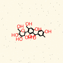 Cc1cc(C(=O)c2c(O)cc(CO)c([C@@H]3OC(CO)[C@@H](O)[C@@H](O)C3O)c2O)ccc1O